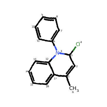 CC1=CC(Cl)N(c2ccccc2)c2ccccc21